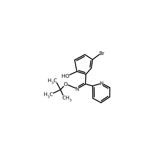 CC(C)(C)ON=C(c1ccccn1)c1cc(Br)ccc1O